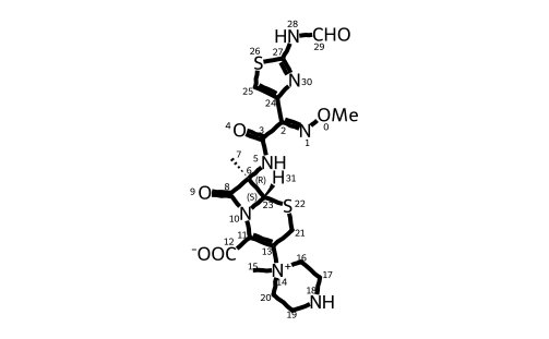 CON=C(C(=O)N[C@]1(C)C(=O)N2C(C(=O)[O-])=C([N+]3(C)CCNCC3)CS[C@H]21)c1csc(NC=O)n1